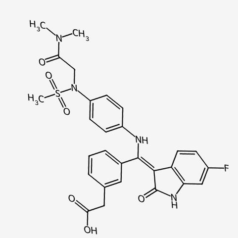 CN(C)C(=O)CN(c1ccc(NC(=C2C(=O)Nc3cc(F)ccc32)c2cccc(CC(=O)O)c2)cc1)S(C)(=O)=O